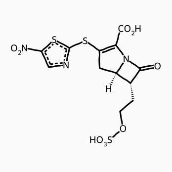 O=C(O)C1=C(Sc2ncc([N+](=O)[O-])s2)C[C@@H]2[C@@H](CCOS(=O)(=O)O)C(=O)N12